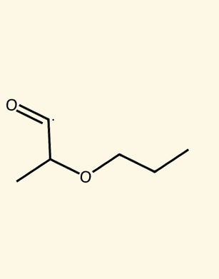 CCCOC(C)[C]=O